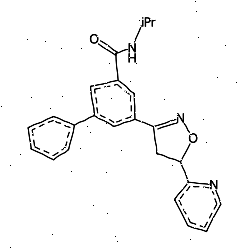 CC(C)NC(=O)c1cc(C2=NOC(c3ccccn3)C2)cc(-c2ccccc2)c1